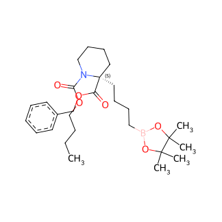 CCCCOC(=O)N1CCCC[C@@]1(CCCCB1OC(C)(C)C(C)(C)O1)C(=O)OCc1ccccc1